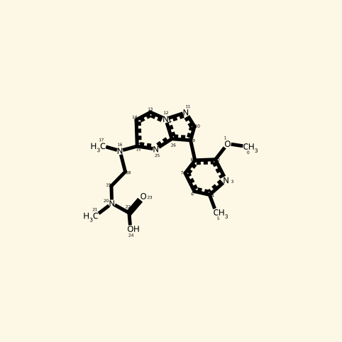 COc1nc(C)ccc1-c1cnn2ccc(N(C)CCN(C)C(=O)O)nc12